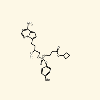 CCOC(CCc1ccc2c(N)ncnn12)COP(=O)(NCCC(=O)OC1CCC1)Oc1ccc(C(C)(C)C)cc1